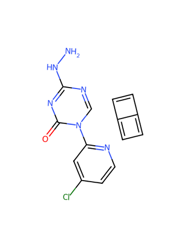 NNc1ncn(-c2cc(Cl)ccn2)c(=O)n1.c1cc2ccc1-2